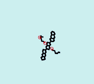 C=C/C=C\CCOc1cc(-c2ccc3cc4ccccc4cc3c2)cc2c(OCCC3OC3(C)C)cc(-c3ccc4cc5ccccc5cc4c3)cc12